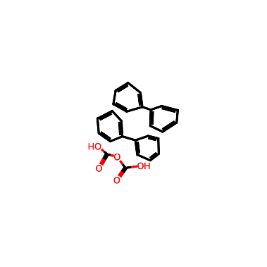 O=C(O)OC(=O)O.c1ccc(-c2ccccc2)cc1.c1ccc(-c2ccccc2)cc1